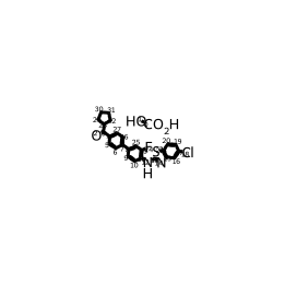 O=C(O)O.O=C(c1ccc(-c2ccc(Nc3nc4cc(Cl)ccc4s3)c(F)c2)cc1)C1CCCC1